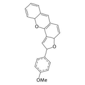 COc1ccc(C2C=C3C4=C(C=CC3O2)C=C2C=CC=CC2O4)cc1